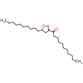 CCCCCCCCCCC(=O)C1=NOC(CCCCCCCCCC)C1